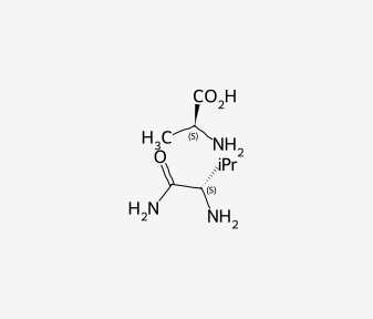 CC(C)[C@H](N)C(N)=O.C[C@H](N)C(=O)O